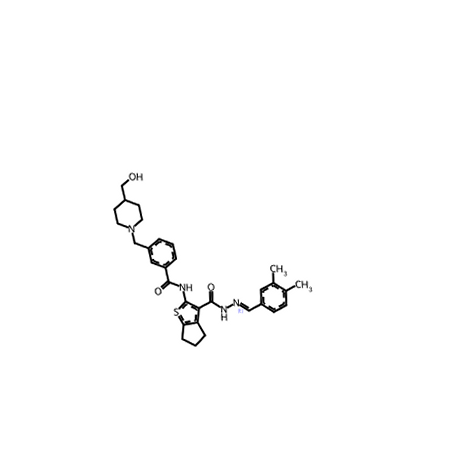 Cc1ccc(/C=N/NC(=O)c2c(NC(=O)c3cccc(CN4CCC(CO)CC4)c3)sc3c2CCC3)cc1C